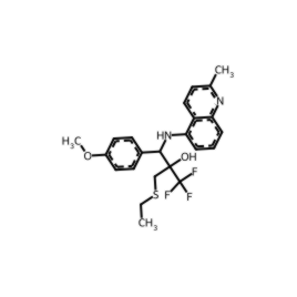 CCSCC(O)(C(Nc1cccc2nc(C)ccc12)c1ccc(OC)cc1)C(F)(F)F